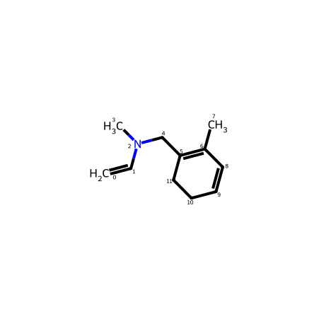 C=CN(C)CC1=C(C)C=CCC1